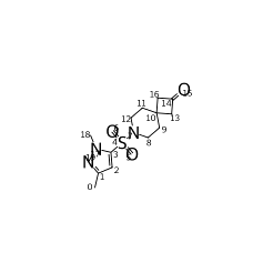 Cc1cc(S(=O)(=O)N2CCC3(CC2)CC(=O)C3)n(C)n1